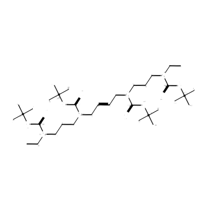 CCN(CCCN(C/C=C/CN(CCCN(CC)C(=O)OC(C)(C)C)C(=O)OC(C)(C)C)C(=O)OC(C)(C)C)C(=O)OC(C)(C)C